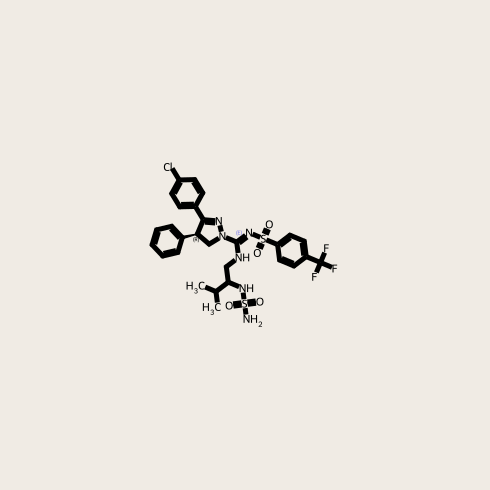 CC(C)C(CN/C(=N\S(=O)(=O)c1ccc(C(F)(F)F)cc1)N1C[C@@H](c2ccccc2)C(c2ccc(Cl)cc2)=N1)NS(N)(=O)=O